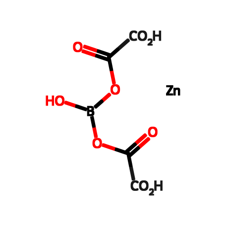 O=C(O)C(=O)OB(O)OC(=O)C(=O)O.[Zn]